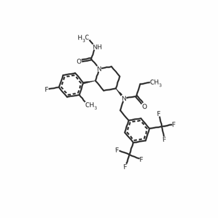 CCC(=O)N(Cc1cc(C(F)(F)F)cc(C(F)(F)F)c1)[C@@H]1CCN(C(=O)NC)[C@H](c2ccc(F)cc2C)C1